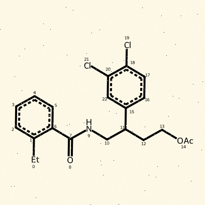 CCc1ccccc1C(=O)NCC(CCOC(C)=O)c1ccc(Cl)c(Cl)c1